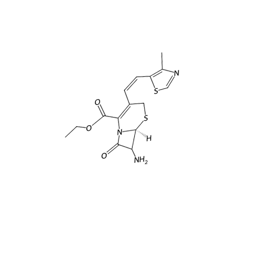 CCOC(=O)C1=C(/C=C\c2scnc2C)CS[C@H]2C(N)C(=O)N12